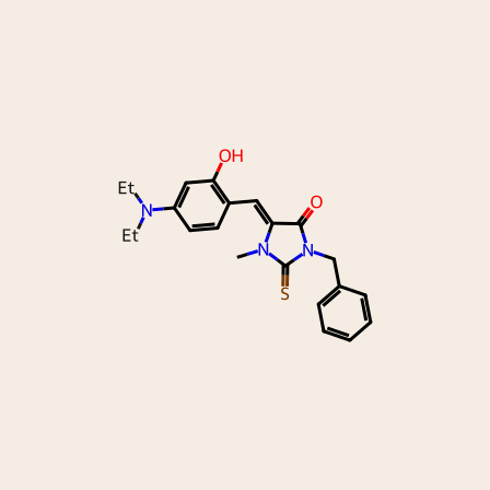 CCN(CC)c1ccc(C=C2C(=O)N(Cc3ccccc3)C(=S)N2C)c(O)c1